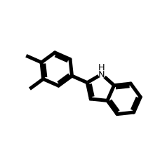 Cc1ccc(-c2cc3ccccc3[nH]2)cc1C